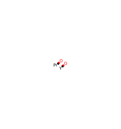 [O]=[Pr].[O]=[Y]